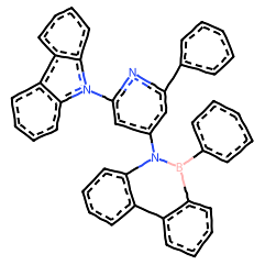 c1ccc(B2c3ccccc3-c3ccccc3N2c2cc(-c3ccccc3)nc(-n3c4ccccc4c4ccccc43)c2)cc1